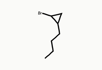 CCCCC1CC1Br